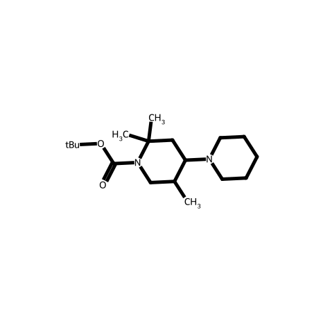 CC1CN(C(=O)OC(C)(C)C)C(C)(C)CC1N1CCCCC1